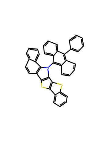 c1ccc(-c2c3ccccc3c(-n3c4c5ccccc5ccc4c4sc5c6ccccc6sc5c43)c3ccccc23)cc1